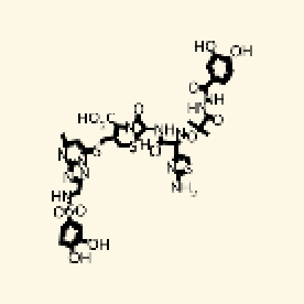 Cc1cc(SCC2=C(C(=O)O)N3C(=O)[C@@H](NC(=O)C(=NOC(C)(C)C(=O)NNC(=O)c4ccc(O)c(O)c4)c4csc(N)n4)[C@H]3SC2)n2nc(CNS(=O)(=O)c3ccc(O)c(O)c3)nc2n1